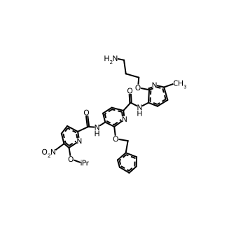 Cc1ccc(NC(=O)c2ccc(NC(=O)c3ccc([N+](=O)[O-])c(OC(C)C)n3)c(OCc3ccccc3)n2)c(OCCCN)n1